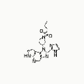 CCCS(=O)(=O)N1CCC(n2c(-c3ncc[nH]3)nc3cnc4[nH]ccc4c32)C1